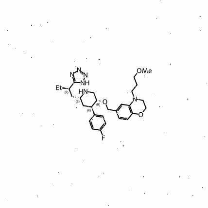 CC[C@H](C[C@H]1C[C@H](c2ccc(F)cc2)[C@@H](OCc2ccc3c(c2)N(CCCOC)CCO3)CN1)c1nnn[nH]1